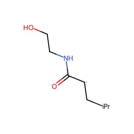 CC(C)C[CH]C(=O)NCCO